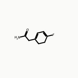 NC(=O)CC1=CC=C(F)CC1